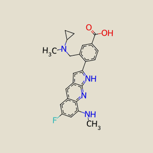 CNc1cc(F)cc2cc3cc(-c4ccc(C(=O)O)cc4CN(C)C4CC4)[nH]c3nc12